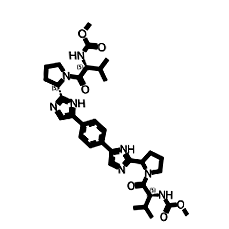 COC(=O)N[C@H](C(=O)N1CCCC1c1ncc(-c2ccc(-c3cnc([C@@H]4CCCN4C(=O)[C@@H](NC(=O)OC)C(C)C)[nH]3)cc2)[nH]1)C(C)C